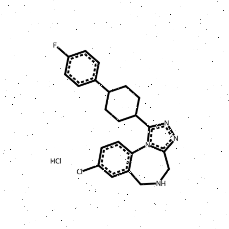 Cl.Fc1ccc(C2CCC(c3nnc4n3-c3ccc(Cl)cc3CNC4)CC2)cc1